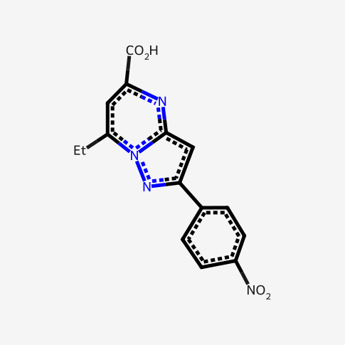 CCc1cc(C(=O)O)nc2cc(-c3ccc([N+](=O)[O-])cc3)nn12